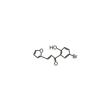 O=C(/C=C/c1ccco1)c1cc(Br)ccc1O